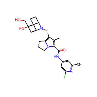 Cc1c(SN2C3CCC34C2CC4(O)CO)c2n(c1C(=O)Nc1cc(F)nc(C#N)c1)CCC2